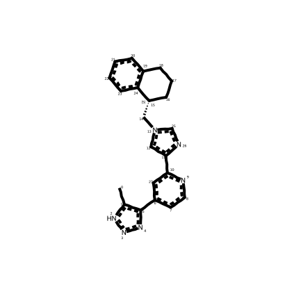 Cc1[nH]nnc1-c1ccnc(-c2cn(C[C@H]3CCCc4ccccc43)cn2)c1